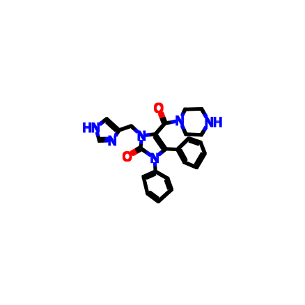 O=C(c1c(-c2ccccc2)n(-c2ccccc2)c(=O)n1Cc1c[nH]cn1)N1CCNCC1